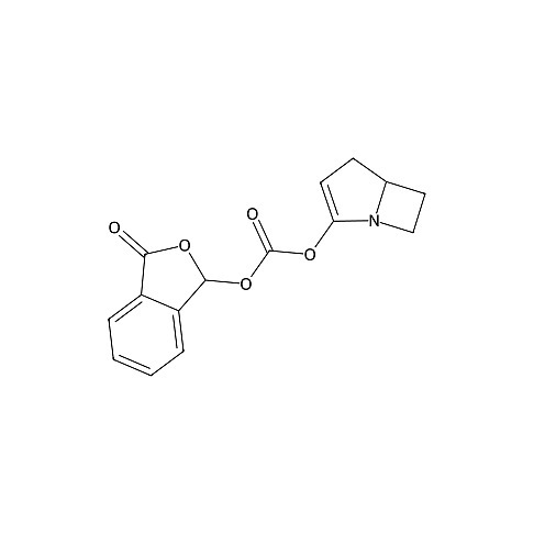 O=C(OC1=CCC2CCN12)OC1OC(=O)c2ccccc21